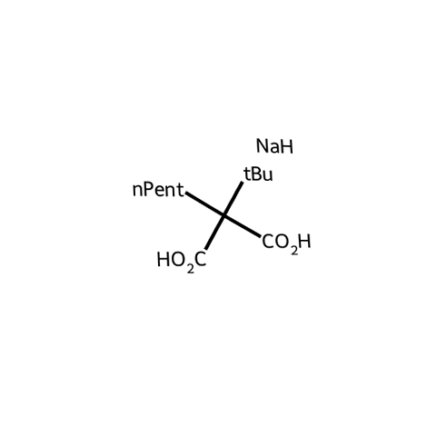 CCCCCC(C(=O)O)(C(=O)O)C(C)(C)C.[NaH]